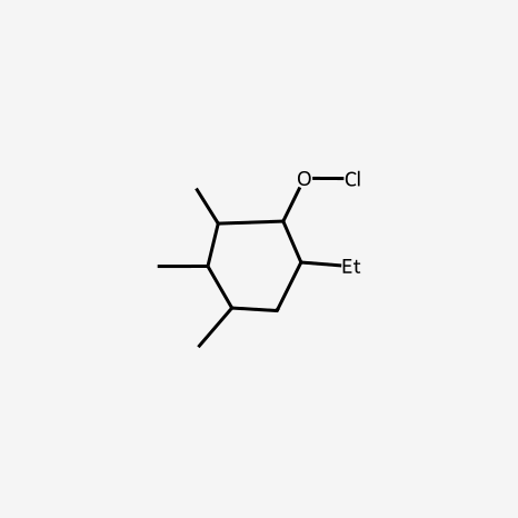 CCC1CC(C)C(C)C(C)C1OCl